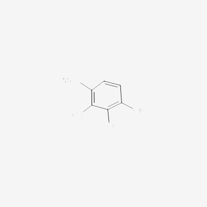 CCCCc1c(OC)ccc(O)c1O